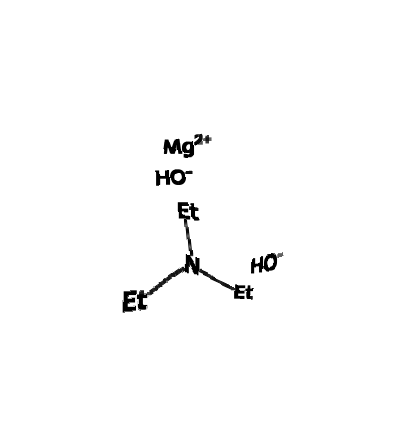 CCN(CC)CC.[Mg+2].[OH-].[OH-]